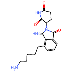 N=C1c2c(CCCCCN)cccc2C(=O)N1C1CCC(=O)NC1=O